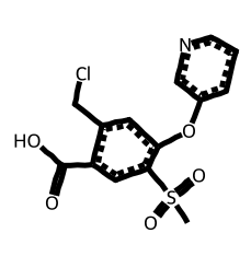 CS(=O)(=O)c1cc(C(=O)O)c(CCl)cc1Oc1cccnc1